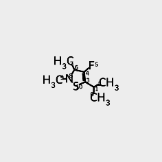 CC(C)C1=C(F)C(C)N(C)S1